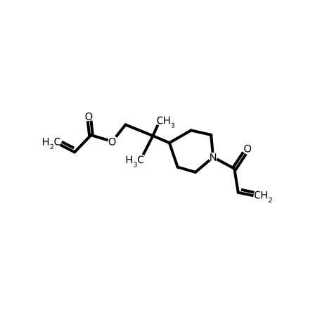 C=CC(=O)OCC(C)(C)C1CCN(C(=O)C=C)CC1